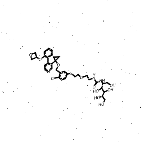 O=C(NCCOCCSc1ccc(Cl)c(COC2(c3cnccc3-c3ccccc3OC3COC3)CC2)c1)NC(CO)C(O)C(O)C(O)CO